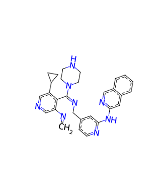 C=Nc1cncc(C2CC2)c1/C(=N\Cc1ccnc(Nc2cc3ccccc3cn2)c1)N1CCNCC1